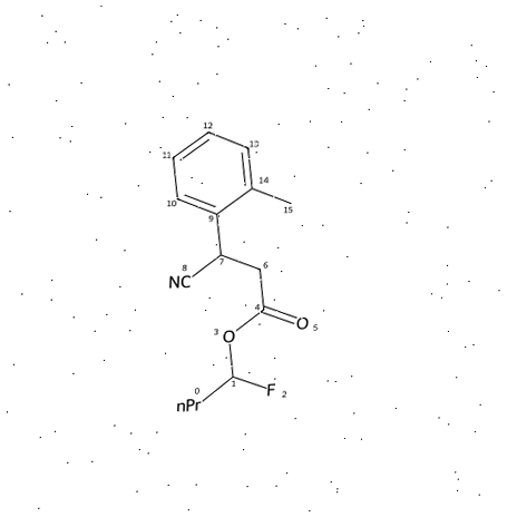 CCCC(F)OC(=O)CC(C#N)c1ccccc1C